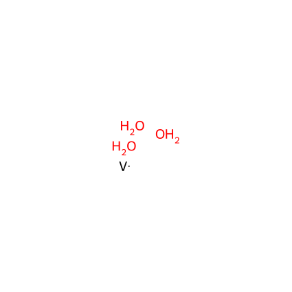 O.O.O.[V]